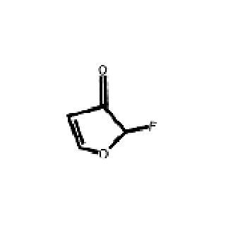 O=C1C=COC1F